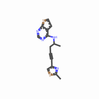 Cc1nc(C#CCC(C)Nc2ncnc3sccc23)cs1